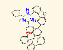 c1ccc(C2NC(c3ccccc3)NC(c3cccc4oc5ccc(-c6ccc7c(c6)Oc6ccccc6C76c7ccccc7-c7ccccc76)cc5c34)N2)cc1